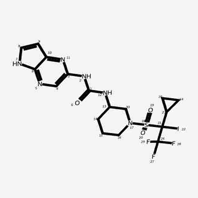 O=C(Nc1cnc2[nH]ccc2n1)NC1CCCN(S(=O)(=O)C(I)(C2CC2)C(F)(F)F)C1